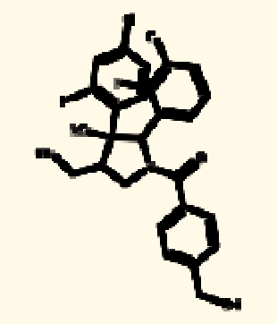 CC(C)(C)CC1CN(C(=O)c2ccc(CO)cc2)C(c2cccc(Cl)c2F)C1(C#N)c1ccc(Cl)cc1F